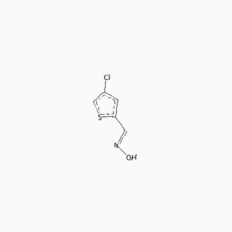 ON=Cc1cc(Cl)cs1